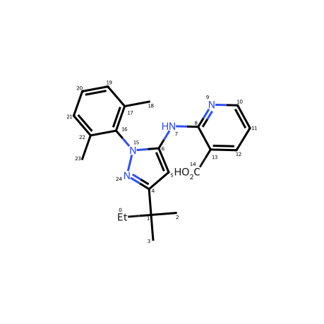 CCC(C)(C)c1cc(Nc2ncccc2C(=O)O)n(-c2c(C)cccc2C)n1